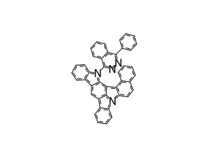 c1ccc(-c2nnc(-n3c4ccccc4c4cc5c6ccccc6n6c7ccc8ccccc8c7c(c43)c56)c3ccccc23)cc1